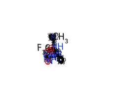 CC[N+]1(OC(=O)C(F)(F)F)C(c2nonc2N)=Nc2c(-c3ccccc3)ncc(C(=O)NCCC3CCCN3C)c21